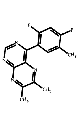 Cc1cc(-c2ncnc3nc(C)c(C)nc23)c(F)cc1F